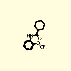 O=C(Nc1ccccc1OC(F)(F)F)C1CCCCC1